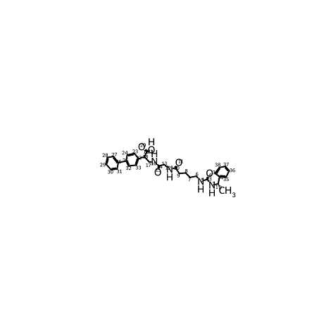 C[C@@H](NC(=O)NCCCCC(=O)NCC(=O)NCC(C(=O)O)c1ccc(-c2ccccc2)cc1)c1ccccc1